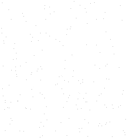 N#CCC1OC(c2cccc3ccccc23)c2cc(Cl)ccc2N(CCCCI)C1=O